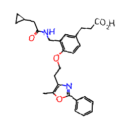 Cc1oc(-c2ccccc2)nc1CCOc1ccc(CCC(=O)O)cc1CNC(=O)CC1CC1